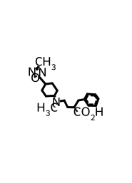 Cc1noc(C2CCC(N(C)CC[C@@H](Cc3ccccc3)C(=O)O)CC2)n1